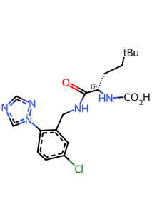 CC(C)(C)CC[C@H](NC(=O)O)C(=O)NCc1cc(Cl)ccc1-n1cncn1